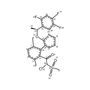 Cc1ccc(F)c(C(=O)N(Cl)S(C)(=O)=O)c1-c1cccnc1O[C@@H](C)c1cc(F)c(F)cc1F